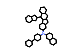 C1CCC(C2CCC(N(C3CCC4CCCCC4C3)C3CCC4C(CC5CC6CCCCC6C(C6CC7CCCCC7C6)C54)C3)CC2)CC1